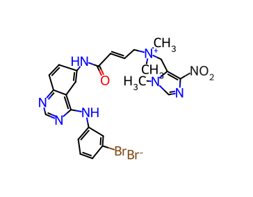 Cn1cnc([N+](=O)[O-])c1C[N+](C)(C)C/C=C/C(=O)Nc1ccc2ncnc(Nc3cccc(Br)c3)c2c1.[Br-]